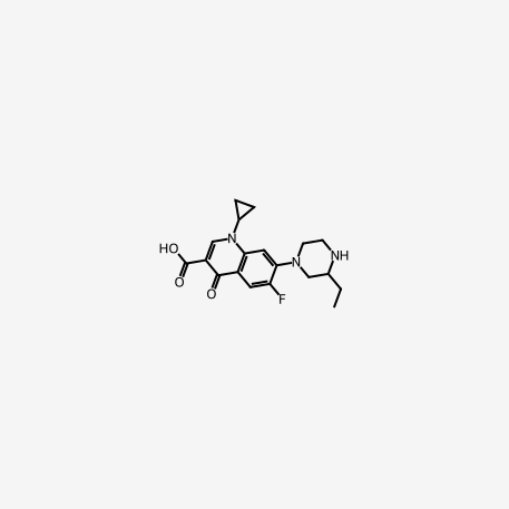 CCC1CN(c2cc3c(cc2F)c(=O)c(C(=O)O)cn3C2CC2)CCN1